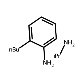 CC(C)N.CCCCc1ccccc1N